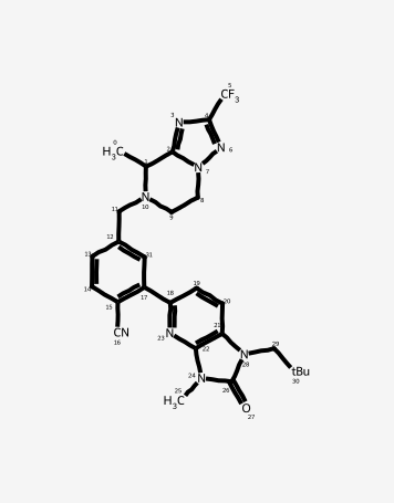 CC1c2nc(C(F)(F)F)nn2CCN1Cc1ccc(C#N)c(-c2ccc3c(n2)n(C)c(=O)n3CC(C)(C)C)c1